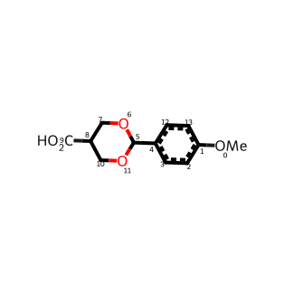 COc1ccc(C2OCC(C(=O)O)CO2)cc1